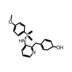 C=S(=C)(Nc1cccnc1CC1=CCC(O)C=C1)c1ccc(OC)cc1